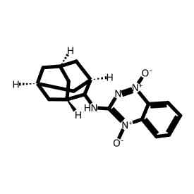 [O-][n+]1nc(NC2[C@H]3C[C@H]4C[C@H](C3)C[C@H]2C4)[n+]([O-])c2ccccc21